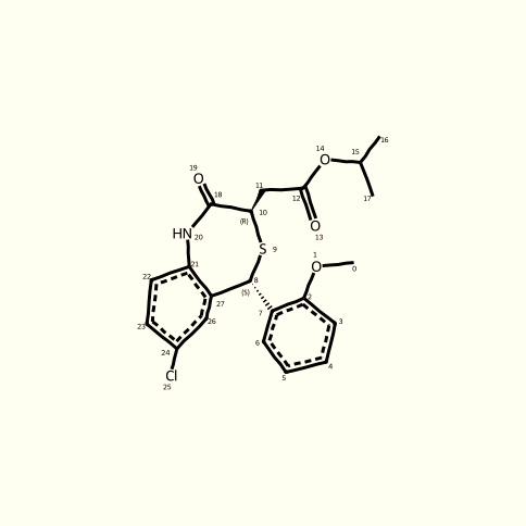 COc1ccccc1[C@H]1S[C@H](CC(=O)OC(C)C)C(=O)Nc2ccc(Cl)cc21